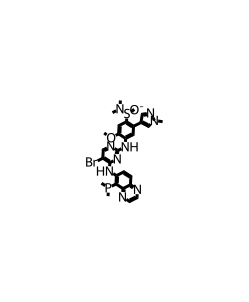 COc1cc([S+]([O-])N(C)C)c(-c2cnn(C)c2)cc1Nc1ncc(Br)c(Nc2ccc3nccnc3c2P(C)C)n1